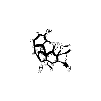 CC[C@]1(OC)[C@@H]2Oc3c(O)ccc4c3C23CCC[C@H](C4)[C@@]3(CC)C[C@@H]1C#N